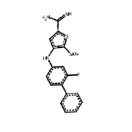 CSc1sc(C(=N)N)cc1Nc1ccc(-c2ccccc2)c(F)c1